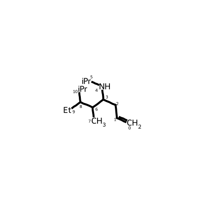 C=CCC(NC(C)C)C(C)C(CC)C(C)C